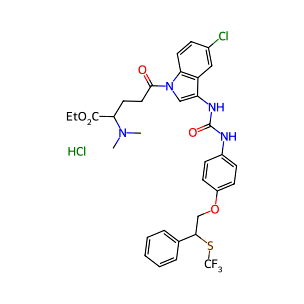 CCOC(=O)C(CCC(=O)n1cc(NC(=O)Nc2ccc(OCC(SC(F)(F)F)c3ccccc3)cc2)c2cc(Cl)ccc21)N(C)C.Cl